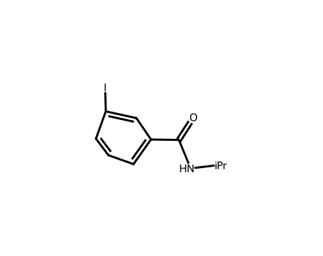 CC(C)NC(=O)c1cccc(I)c1